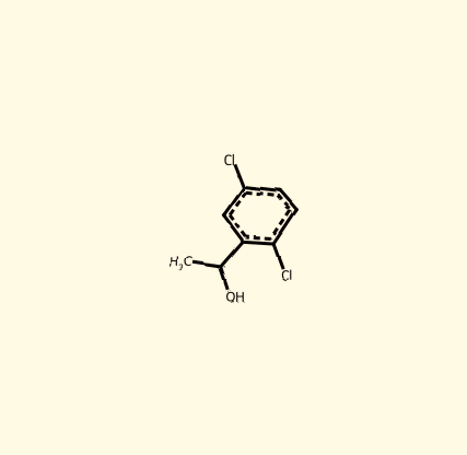 C[C](O)c1cc(Cl)ccc1Cl